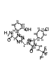 NC(=O)c1nc(Cn2nc(-c3ccc(Cl)cc3)n(CCC(F)(F)F)c2=O)nn1-c1ccccc1O